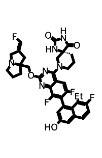 CCc1c(F)ccc2cc(O)cc(-c3c(F)cc4c(N5CCC[C@]6(C5)NC(=O)NC6=O)nc(OCC56CCCN5C/C(=C\F)C6)nc4c3F)c12